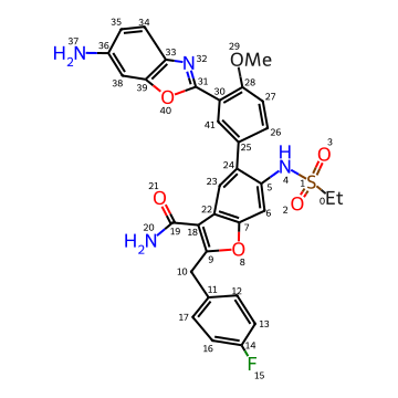 CCS(=O)(=O)Nc1cc2oc(Cc3ccc(F)cc3)c(C(N)=O)c2cc1-c1ccc(OC)c(-c2nc3ccc(N)cc3o2)c1